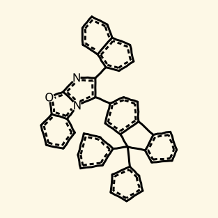 c1ccc(C2(c3ccccc3)c3ccccc3-c3ccc(-c4c(-c5cccc6ccccc56)nc5oc6ccccc6n45)cc32)cc1